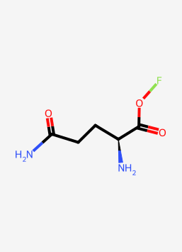 NC(=O)CC[C@H](N)C(=O)OF